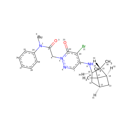 CCC(C)N(C(=O)Cn1ncc(N[C@@H]2C[C@@H]3C[C@H]([C@H]2C)C3(C)C)c(Br)c1=O)c1ccccc1